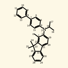 Cc1c(N(c2ccc(-c3ccccc3)cc2)C(C)C)ccc2c1C(C)(C)c1ccccc1-2